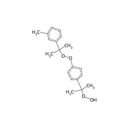 Cc1cccc(C(C)(C)OOc2ccc(C(C)(C)OO)cc2)c1